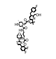 C[C@@H]1CN(CC(=O)N2CC(C)(C)c3nc(CO)c(Cc4ccc(F)cc4)cc32)[C@@H](C(=O)NCCCNC(=O)COc2c(-c3csc(N4CCOCC4)n3)ccc(F)c2F)CN1